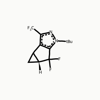 CC(C)(C)n1nc(C(F)(F)F)c2c1C(F)(F)[C@@H]1CC21